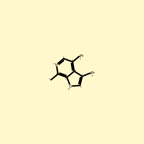 Cc1ncc(C(C)C)c2c(C(C)C)coc12